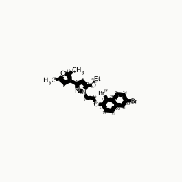 CCOc1cc(-c2cc(C)oc2C)nn1CCOc1ccc2cc(Br)ccc2c1Br